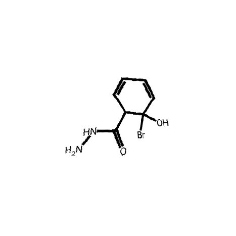 NNC(=O)C1C=CC=CC1(O)Br